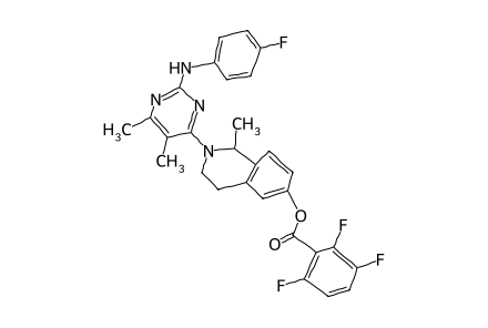 Cc1nc(Nc2ccc(F)cc2)nc(N2CCc3cc(OC(=O)c4c(F)ccc(F)c4F)ccc3C2C)c1C